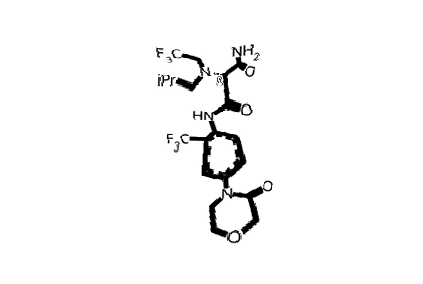 CC(C)CN(CC(F)(F)F)[C@H](C(N)=O)C(=O)Nc1ccc(N2CCOCC2=O)cc1C(F)(F)F